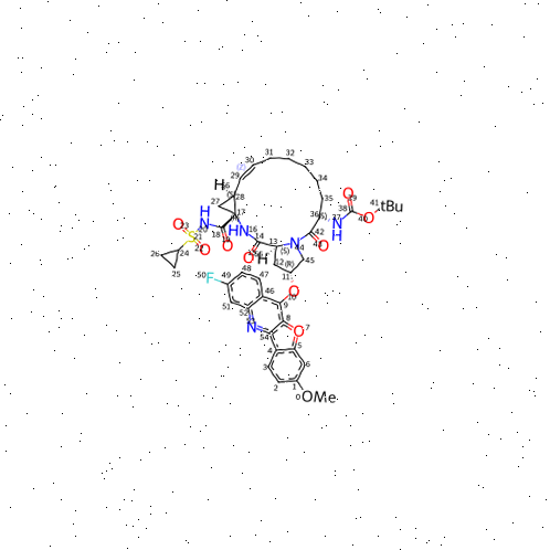 COc1ccc2c(c1)oc1c(O[C@@H]3C[C@H]4C(=O)N[C@]5(C(=O)NS(=O)(=O)C6CC6)C[C@H]5/C=C\CCCCC[C@H](NC(=O)OC(C)(C)C)C(=O)N4C3)c3ccc(F)cc3nc12